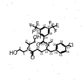 CC(CO)N(CCO)C(=O)CCC(Cc1ccc(Cl)cc1)N(C)C(=O)c1cc(C(F)(F)F)cc(C(F)(F)F)c1